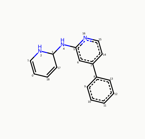 C1=CNC(Nc2cc(-c3ccccc3)ccn2)C=C1